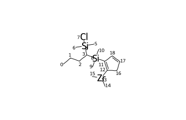 CCCC([Si](C)(C)Cl)[Si](C)(C)C1=[C]([Zr]([CH3])[CH3])CC=C1